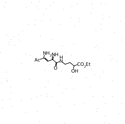 CCOC(=O)C(O)CCNC(=O)C(=N)/C=C(\N)C(C)=O